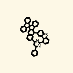 c1ccc(-c2cc(-c3ccccc3)nc(-c3cccc4sc5ccc(-c6cccc7c6-c6ccccc6C76c7ccccc7-c7ccccc76)cc5c34)n2)cc1